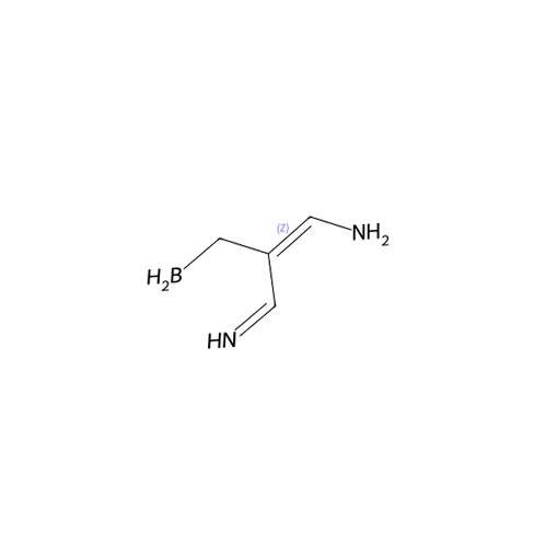 BC/C(C=N)=C/N